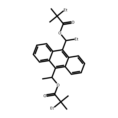 CCC(OC(=O)C(C)(C)CC)c1c2ccccc2c(C(C)OC(=O)C(C)(C)CC)c2ccccc12